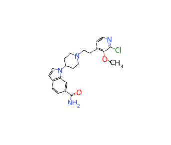 COc1c(CCN2CCC(n3ccc4ccc(C(N)=O)cc43)CC2)ccnc1Cl